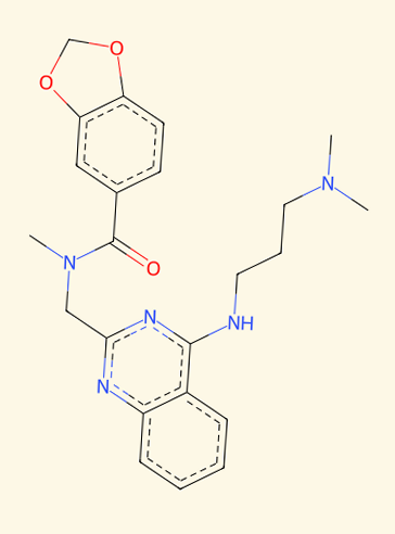 CN(C)CCCNc1nc(CN(C)C(=O)c2ccc3c(c2)OCO3)nc2ccccc12